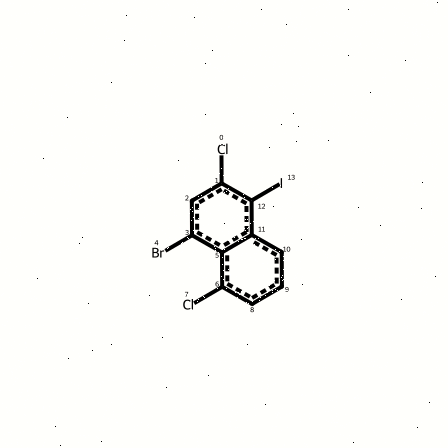 Clc1cc(Br)c2c(Cl)cccc2c1I